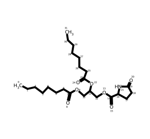 CCCCCCCC(=O)OCC(COC(=O)C1CCC(=O)N1)OC(=O)CCCCCCC